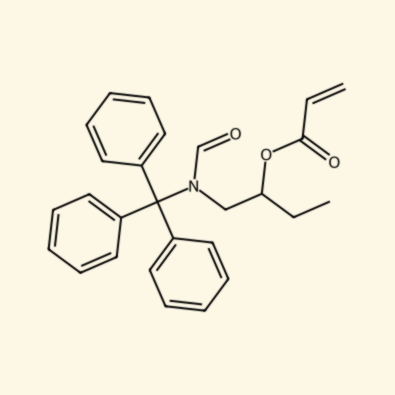 C=CC(=O)OC(CC)CN(C=O)C(c1ccccc1)(c1ccccc1)c1ccccc1